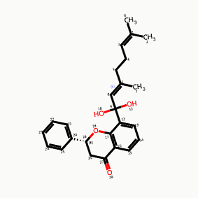 CC(C)=CCC/C(C)=C/C(O)(O)c1cccc2c1O[C@@H](c1ccccc1)CC2=O